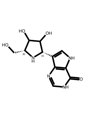 O=c1[nH]cnc2c([C@@H]3N[C@H](CO)C(O)C3O)c[nH]c12